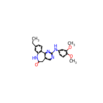 CCc1ccc2c(c1)NC(=O)Cc1cnc(Nc3ccc(OC)c(OC)c3)nc1-2